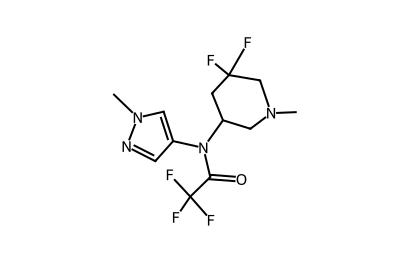 CN1CC(N(C(=O)C(F)(F)F)c2cnn(C)c2)CC(F)(F)C1